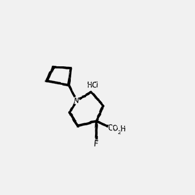 Cl.O=C(O)C1(F)CCN(C2CCC2)CC1